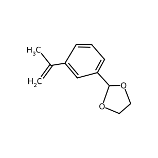 C=C(C)c1cccc(C2OCCO2)c1